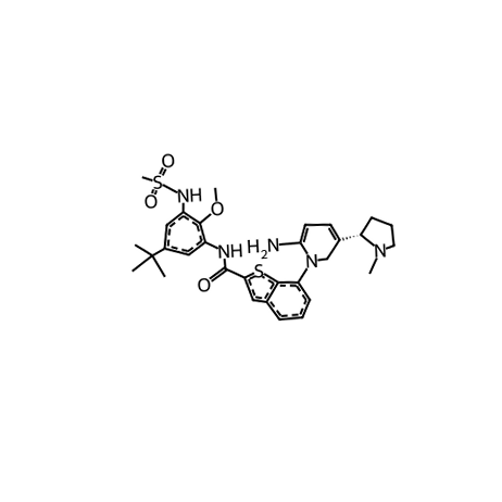 COc1c(NC(=O)c2cc3cccc(N4CC([C@@H]5CCCN5C)=CC=C4N)c3s2)cc(C(C)(C)C)cc1NS(C)(=O)=O